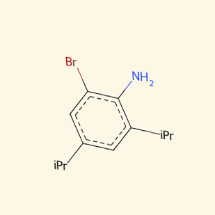 CC(C)c1cc(Br)c(N)c(C(C)C)c1